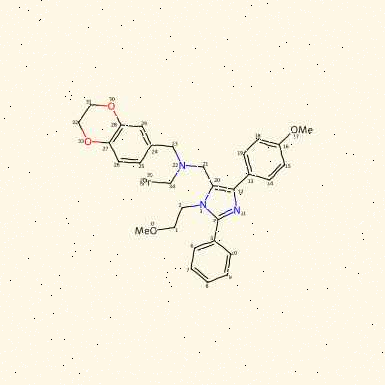 COCCn1c(-c2ccccc2)nc(-c2ccc(OC)cc2)c1CN(Cc1ccc2c(c1)OCCO2)CC(C)C